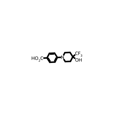 O=C(O)c1ccc(N2CCC(O)(C(F)(F)F)CC2)cc1